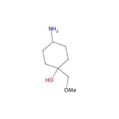 COCC1(O)CCC(N)CC1